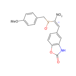 COc1ccc(C[S+]([O-])/C(=C\c2ccc3oc(=O)[nH]c3c2)[N+](=O)[O-])cc1